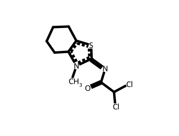 Cn1c2c(sc1=NC(=O)C(Cl)Cl)CCCC2